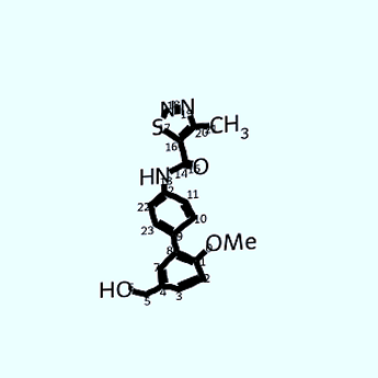 COc1ccc(CO)cc1-c1ccc(NC(=O)c2snnc2C)cc1